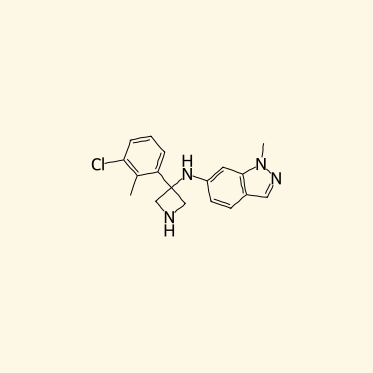 Cc1c(Cl)cccc1C1(Nc2ccc3cnn(C)c3c2)CNC1